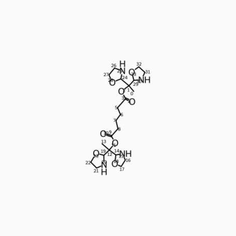 CC(OC(=O)CCCCC(=O)OC(C)(C1NCCO1)C1NCCO1)(C1NCCO1)C1NCCO1